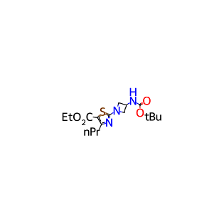 CCCc1nc(N2CC(NC(=O)OC(C)(C)C)C2)sc1C(=O)OCC